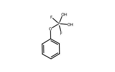 OP(O)(F)(F)Oc1ccccc1